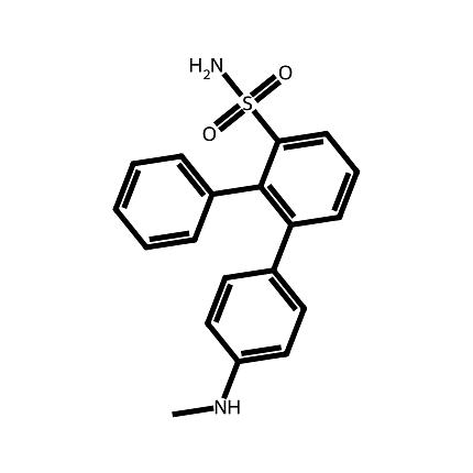 CNc1ccc(-c2cccc(S(N)(=O)=O)c2-c2ccccc2)cc1